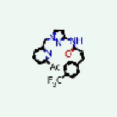 CC(=O)c1cccc(Cn2ccc(NC(=O)/C=C\c3ccc(C(F)(F)F)cc3)n2)n1